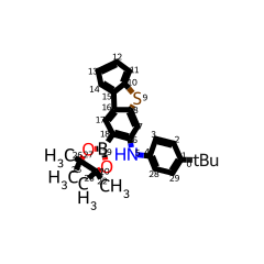 CC(C)(C)c1ccc(Nc2cc3sc4ccccc4c3cc2B2OC(C)(C)C(C)(C)O2)cc1